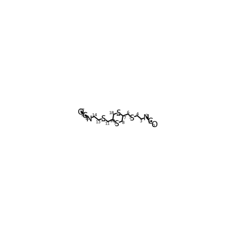 O=C=NCCSCC1CSC(CSCCN=C=O)CS1